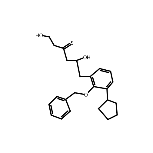 OCCC(=S)CC(O)Cc1cccc(C2CCCC2)c1OCc1ccccc1